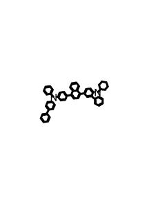 c1ccc(-c2ccc(N(c3ccccc3)c3ccc(-c4ccc(-c5ccc6c(c5)c5ccccc5n6C5CCCCC5)c5ccccc45)cc3)cc2)cc1